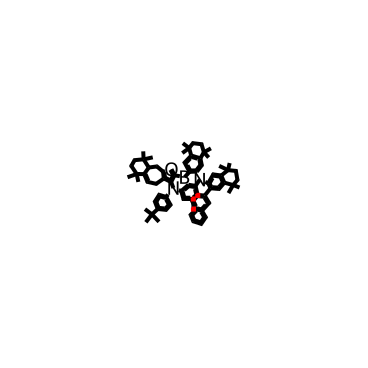 Cc1cc2c3c(c1)N(c1ccc(C(C)(C)C)cc1)c1c(oc4c1CC=C1C(C4)C(C)(C)CCC1(C)C)B3c1cc3c(cc1N2c1cc2c(cc1-c1ccc4ccccc4c1)C(C)(C)CCC2(C)C)C(C)(C)CCC3(C)C